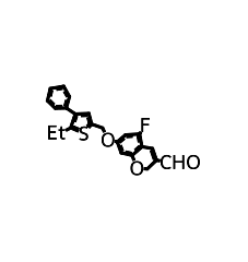 CCc1sc(COc2cc(F)c3c(c2)OCC(C=O)=C3)cc1-c1ccccc1